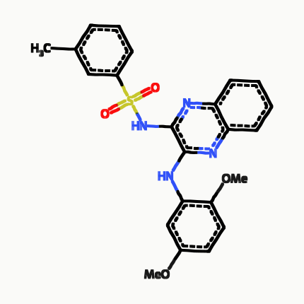 COc1ccc(OC)c(Nc2nc3ccccc3nc2NS(=O)(=O)c2cccc(C)c2)c1